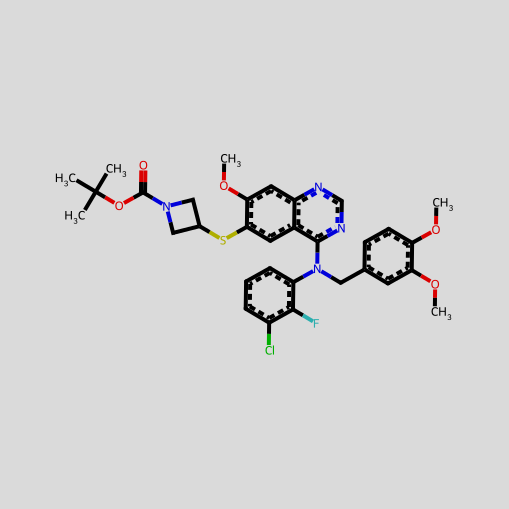 COc1ccc(CN(c2cccc(Cl)c2F)c2ncnc3cc(OC)c(SC4CN(C(=O)OC(C)(C)C)C4)cc23)cc1OC